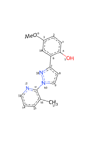 COc1ccc(O)c(-c2ccn(-c3ncccc3C)n2)c1